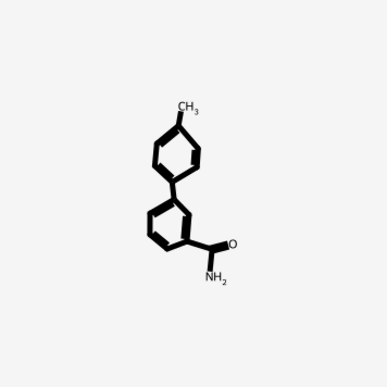 Cc1ccc(-c2cccc(C(N)=O)c2)cc1